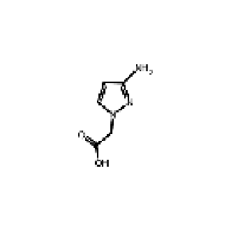 Nc1ccn(CC(=O)O)n1